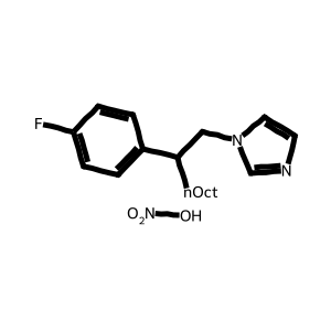 CCCCCCCCC(Cn1ccnc1)c1ccc(F)cc1.O=[N+]([O-])O